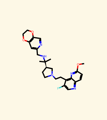 COc1ccc2ncc(F)c(CCN3CC[C@@H](C(C)(C)NCc4cc5c(cn4)OCCO5)C3)c2n1